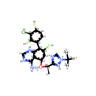 [2H]C([2H])([2H])n1cnc([C@@H](C)Oc2cc(F)c(-c3ccc(F)c(Cl)c3F)c3ncnc(N)c23)n1